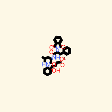 COC(=O)CCCC1(O)CCCCC1NC(=O)C(CC(C)C)NC(=O)C(Cc1ccccc1)N1C(=O)c2ccccc2C1=O